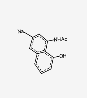 CC(=O)Nc1c[c]([Na])cc2cccc(O)c12